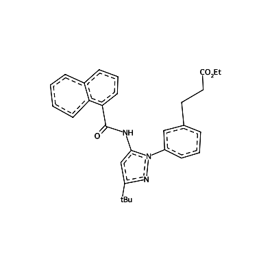 CCOC(=O)CCc1cccc(-n2nc(C(C)(C)C)cc2NC(=O)c2cccc3ccccc23)c1